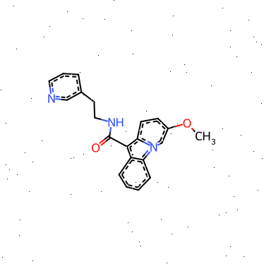 COc1ccc2c(C(=O)NCCc3cccnc3)c3ccccc3n2c1